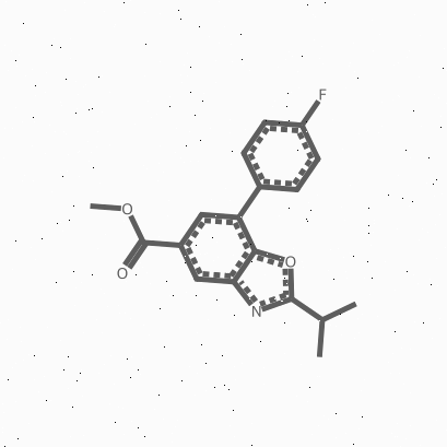 COC(=O)c1cc(-c2ccc(F)cc2)c2oc(C(C)C)nc2c1